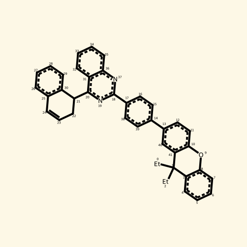 CCC1(CC)c2ccccc2Oc2ccc(-c3ccc(-c4nc(C5CC=Cc6ccccc65)c5ccccc5n4)cc3)cc21